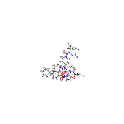 CC(C)[C@H](N)C(=O)N1CCC(C(NC(=O)C2(N3CCSC3C(N)=O)SCCN2S(=O)(=O)c2ccc(-c3ccccc3)cc2)c2ccccc2)CC1